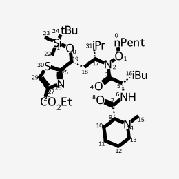 CCCCCON(C(=O)[C@@H](NC(=O)[C@H]1CCCCN1C)[C@@H](C)CC)[C@H](C[C@@H](O[Si](C)(C)C(C)(C)C)c1nc(C(=O)OCC)cs1)C(C)C